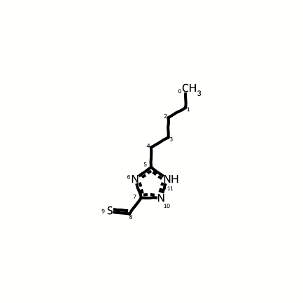 CCCCCc1nc(C=S)n[nH]1